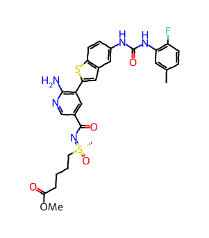 COC(=O)CCCC[S@](C)(=O)=NC(=O)c1cnc(N)c(-c2cc3cc(NC(=O)Nc4cc(C)ccc4F)ccc3s2)c1